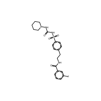 O=C(NN1CCCCC1)NS(=O)(=O)c1ccc(CCNC(=O)c2cccc(F)c2)cc1